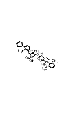 CCCC[C@H](NC(=O)O[C@@H]1CN(C(=O)O)C(Cc2cccc(-c3ccccc3)c2C)C1(C)C)C(=O)C(=O)N[C@H](C)c1ccccc1